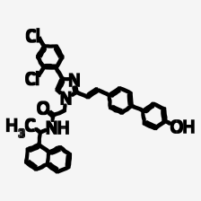 CC(NC(=O)Cn1cc(-c2ccc(Cl)cc2Cl)nc1/C=C/c1ccc(-c2ccc(O)cc2)cc1)c1cccc2ccccc12